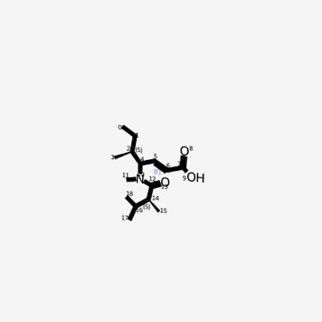 CC[C@H](C)C(/C=C/C(=O)O)N(C)C(=O)[C@@H](C)C(C)C